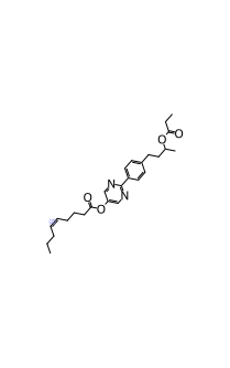 CCC/C=C\CCCC(=O)Oc1cnc(-c2ccc(CCC(C)OC(=O)CC)cc2)nc1